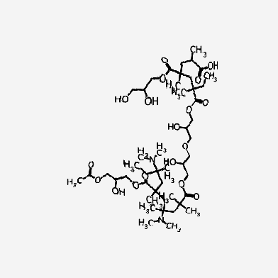 CCC(C)(CC(C)(CC(C)C(=O)O)C(=O)OCC(O)CO)C(=O)OCC(O)COCC(O)COC(=O)C(C)(C)CC(C)(CC(C)(CC(C)(CC)N(C)C)C(=O)OCC(O)COC(C)=O)N(C)C